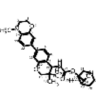 CN1CCOc2cc(-c3ccc4c(c3)OCC(C)(C)C4NC(=O)O[C@H]3CN4CCC3CC4)ccc21